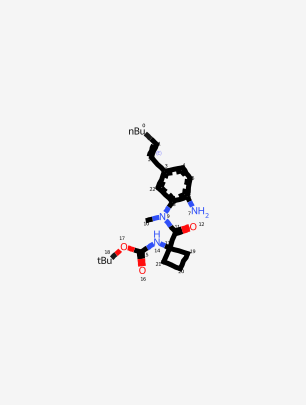 CCCC/C=C/c1ccc(N)c(N(C)C(=O)C2(NC(=O)OC(C)(C)C)CCC2)c1